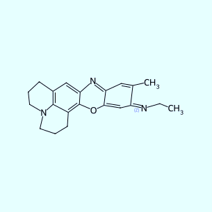 CC/N=c1/cc2oc3c4c5c(cc3nc-2cc1C)CCCN5CCC4